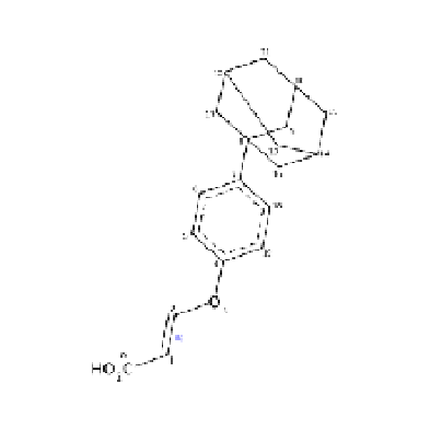 O=C(O)/C=C/Oc1ccc(C23CC4CC(CC(C4)C2)C3)cc1